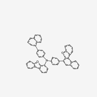 c1ccc2c(-c3ccc(N(c4ccc(-c5cc6ccccc6c6c5oc5ccccc56)cc4)c4cccc5c4oc4ccccc45)cc3)cccc2c1